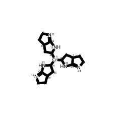 C1CC2C[CH]([Cr]([CH]3CC4CCN=C4N3)[CH]3CC4CCN=C4N3)NC2=N1